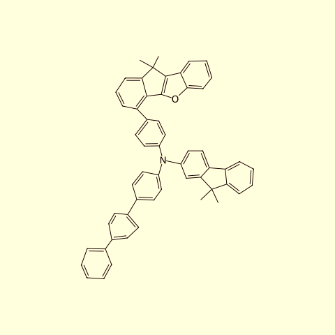 CC1(C)c2ccccc2-c2ccc(N(c3ccc(-c4ccc(-c5ccccc5)cc4)cc3)c3ccc(-c4cccc5c4-c4oc6ccccc6c4C5(C)C)cc3)cc21